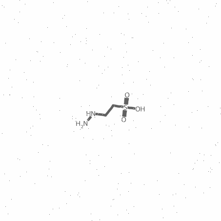 NNCCS(=O)(=O)O